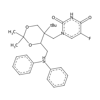 CC1(C)OCC(Cn2cc(F)c(=O)[nH]c2=O)(C(C)(C)C)C(C[SiH](c2ccccc2)c2ccccc2)O1